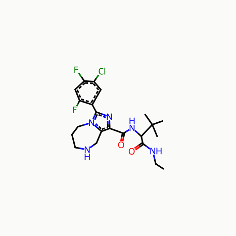 CCNC(=O)C(NC(=O)c1nc(-c2cc(Cl)c(F)cc2F)n2c1CNCCC2)C(C)(C)C